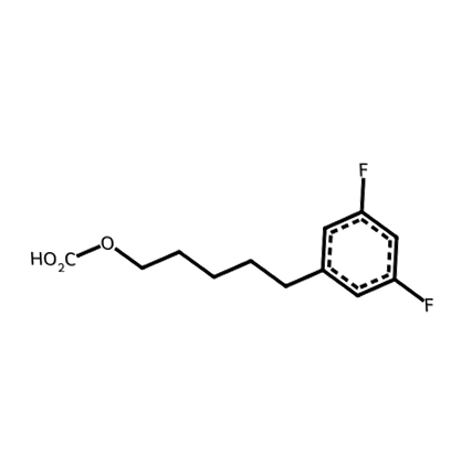 O=C(O)OCCCCCc1cc(F)cc(F)c1